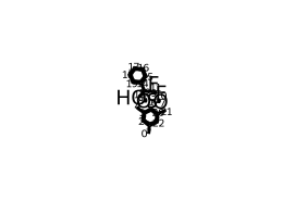 Cc1cc(C)c(S(=O)(=O)C(F)(F)C(O)c2ccccc2)c(C)c1